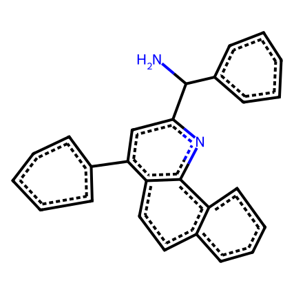 NC(c1ccccc1)c1cc(-c2ccccc2)c2ccc3ccccc3c2n1